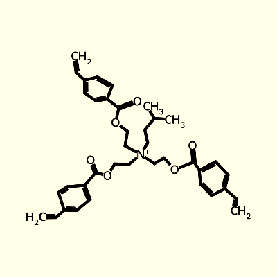 C=Cc1ccc(C(=O)OCC[N+](CCOC(=O)c2ccc(C=C)cc2)(CCOC(=O)c2ccc(C=C)cc2)CCC(C)C)cc1